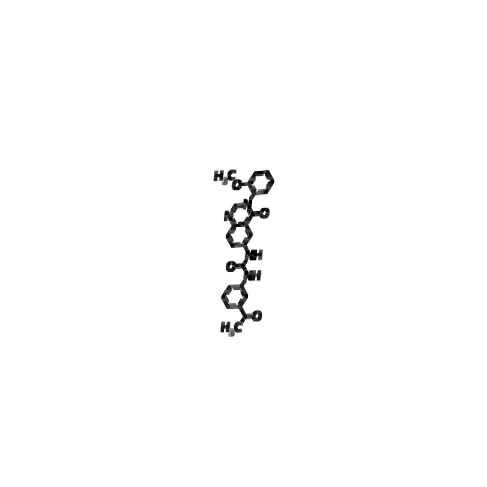 COc1ccccc1-n1cnc2ccc(NC(=O)Nc3cccc(C(C)=O)c3)cc2c1=O